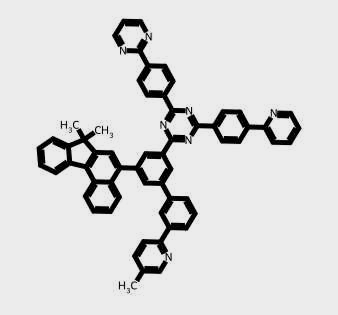 Cc1ccc(-c2cccc(-c3cc(-c4nc(-c5ccc(-c6ccccn6)cc5)nc(-c5ccc(-c6ncccn6)cc5)n4)cc(-c4cc5c(c6ccccc46)-c4ccccc4C5(C)C)c3)c2)nc1